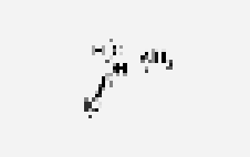 O.OO.[AlH3]